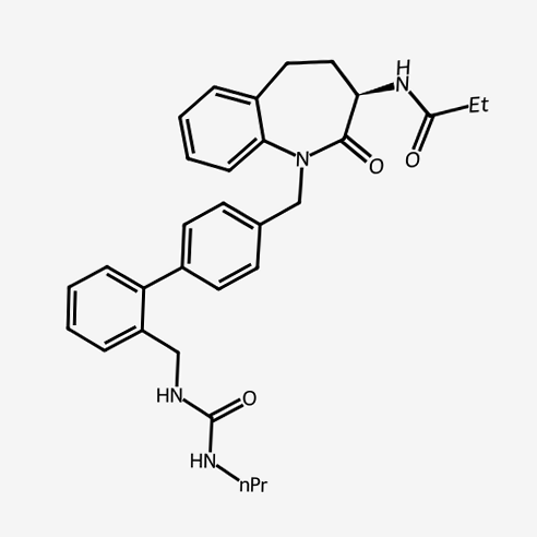 CCCNC(=O)NCc1ccccc1-c1ccc(CN2C(=O)[C@H](NC(=O)CC)CCc3ccccc32)cc1